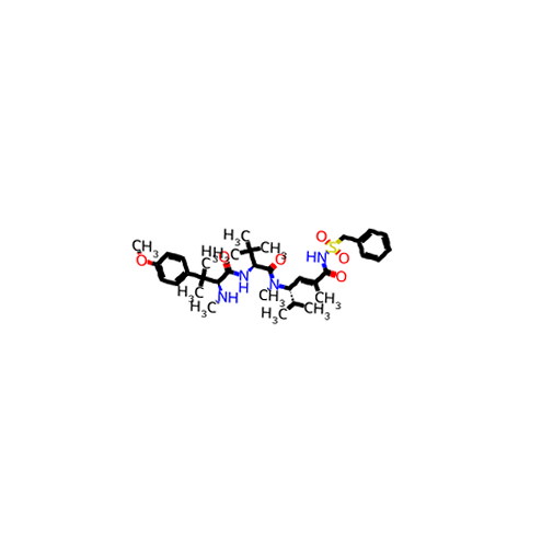 CN[C@H](C(=O)N[C@H](C(=O)N(C)[C@H](C=C(C)C(=O)NS(=O)(=O)Cc1ccccc1)C(C)C)C(C)(C)C)C(C)(C)c1ccc(OC)cc1